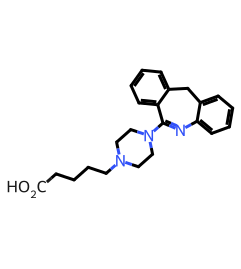 O=C(O)CCCCN1CCN(C2=Nc3ccccc3Cc3ccccc32)CC1